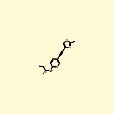 CC[C@H](C)Nc1ccc(C#Cc2csc(C)n2)cn1